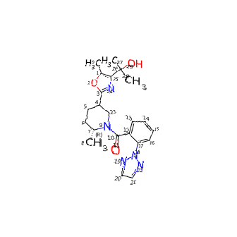 Cc1oc(C2CC[C@@H](C)N(C(=O)c3ccccc3-n3nccn3)C2)nc1C(C)(C)O